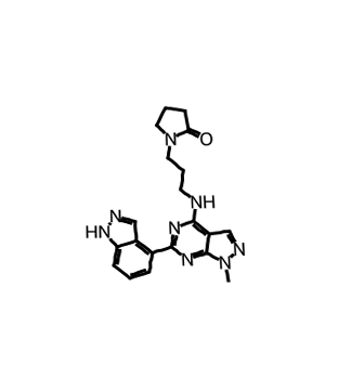 Cn1ncc2c(NCCCN3CCCC3=O)nc(-c3cccc4[nH]ncc34)nc21